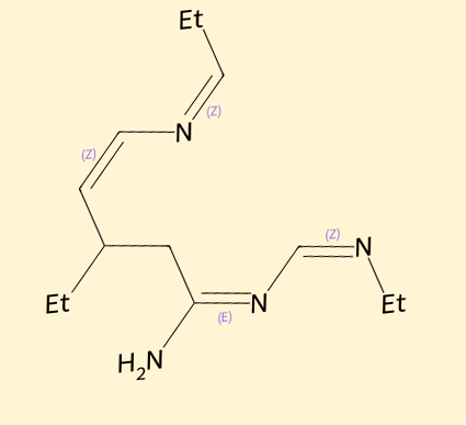 CC/C=N\C=C/C(CC)C/C(N)=N\C=N/CC